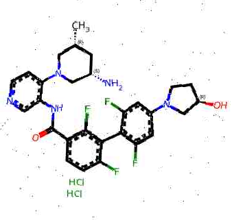 C[C@@H]1C[C@H](N)CN(c2ccncc2NC(=O)c2ccc(F)c(-c3c(F)cc(N4CC[C@@H](O)C4)cc3F)c2F)C1.Cl.Cl